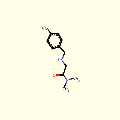 CN(C)C(=O)CNCc1ccc(C(C)(C)C)cc1